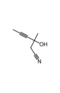 CC#CC(C)(O)CC#N